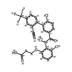 CN(C(=O)c1ccc(Cl)c(-c2cnc(C(F)(F)F)cc2C#N)c1)c1c(Cl)cccc1OCCC(=O)O